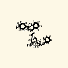 CCCCCN(Cc1ccccn1)C[C@H]1CN(CC[C@H](NC(=O)C2CCC(F)(F)CC2)c2ccccc2)CCN1